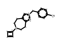 N#Cc1ccc(Cn2cc3c(n2)CCN(C2=CC=C2)CC3)cc1